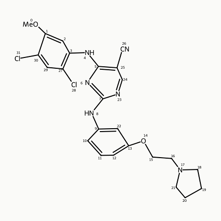 COc1cc(Nc2nc(Nc3cccc(OCCN4CCCC4)c3)ncc2C#N)c(Cl)cc1Cl